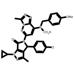 COc1ccc(CN(C(=O)O)c2cc(N3C(=O)c4c(c(C)nn4C4CC4)C3c3ccc(Cl)cc3)nn3c(C)nnc23)cc1